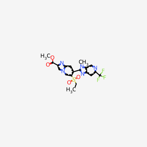 CCS(=O)(=O)c1cn2cc(C(=O)OC)nc2cc1-c1nc2cc(C(F)(F)F)ncc2n1C